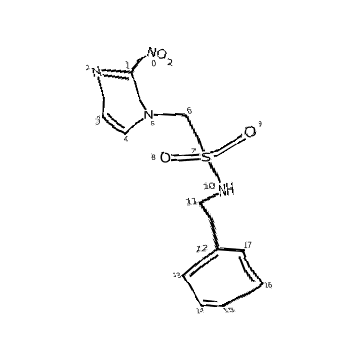 O=[N+]([O-])c1nccn1CS(=O)(=O)NCc1ccccc1